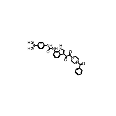 O=C(Nc1ccc(B(O)O)cc1)Nc1cccc2c(C(=O)C(=O)N3CCN(C(=O)c4ccccc4)CC3)c[nH]c12